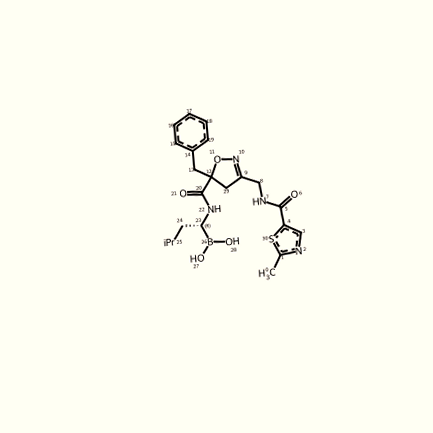 Cc1ncc(C(=O)NCC2=NOC(Cc3ccccc3)(C(=O)N[C@@H](CC(C)C)B(O)O)C2)s1